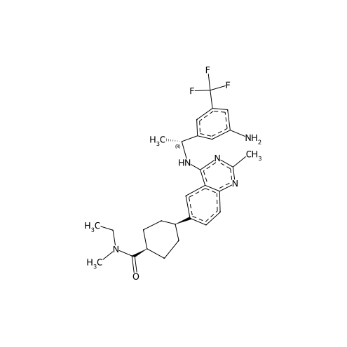 CCN(C)C(=O)[C@H]1CC[C@@H](c2ccc3nc(C)nc(N[C@H](C)c4cc(N)cc(C(F)(F)F)c4)c3c2)CC1